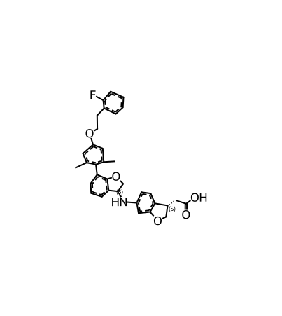 Cc1cc(OCCc2ccccc2F)cc(C)c1-c1cccc2c1OC[C@H]2Nc1ccc2c(c1)OC[C@H]2CC(=O)O